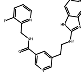 O=C(NCc1ncccc1F)c1cncc(CCNc2nc3ccccc3[nH]2)c1